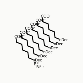 CCCCCCCCCCCCCCCC(=O)[O-].CCCCCCCCCCCCCCCC(=O)[O-].CCCCCCCCCCCCCCCC(=O)[O-].CCCCCCCCCCCCCCCC(=O)[O-].CCCCCCCCCCCCCCCC(=O)[O-].CCCCCCCCCCCCCCCC(=O)[O-].[B+3].[Bi+3]